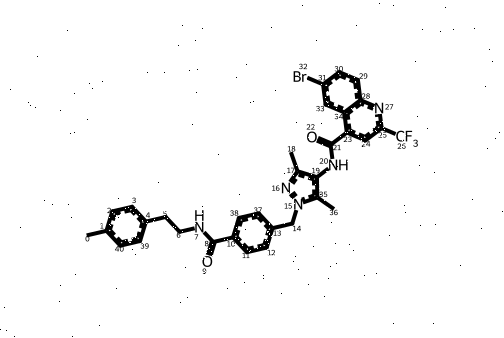 Cc1ccc(CCNC(=O)c2ccc(Cn3nc(C)c(NC(=O)c4cc(C(F)(F)F)nc5ccc(Br)cc45)c3C)cc2)cc1